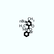 CCCCn1c(C)cc(=O)c(C(=O)Nc2ccccc2Br)c1C